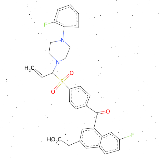 C=CC(N1CCN(c2ccccc2F)CC1)S(=O)(=O)c1ccc(C(=O)c2cc(CC(=O)O)cc3ccc(F)cc23)cc1